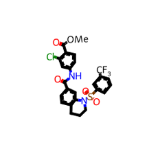 COC(=O)c1ccc(NC(=O)c2ccc3c(c2)N(S(=O)(=O)c2cccc(C(F)(F)F)c2)CCC3)cc1Cl